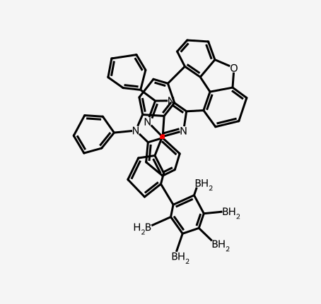 Bc1c(B)c(B)c(-c2cccc(-c3nc(-c4ccccc4)nc(-c4cccc5oc6cccc(-c7ccc8c(c7)c7ccccc7n8-c7ccccc7)c6c45)n3)c2)c(B)c1B